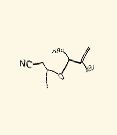 C=C(CCCC)C(CCCC)OC(C)CC#N